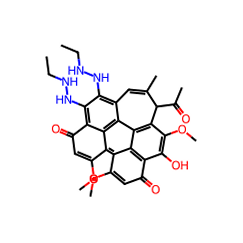 CCNNc1c(NNCC)c2c(=O)cc(OC)c3c4c(OC)cc(=O)c5c(O)c(OC)c6c(c(c1C=C(C)C6C(C)=O)c23)c54